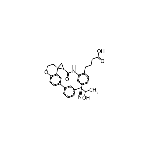 CC(O)Cc1cccc(-c2ccc3c(c2)[C@]2(CCO3)C[C@H]2C(=O)Nc2cc(C#N)ccc2CCCC(=O)O)c1